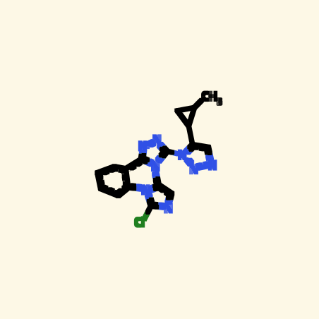 CC1CC1c1cnnn1-c1nnc2c3ccccc3n3c(Cl)ncc3n12